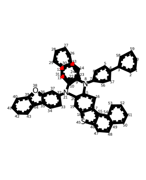 c1ccc(-c2ccc(N(c3ccccc3)c3cc4c(cc3N(c3ccc5ccccc5c3)c3ccc5c(c3)oc3ccccc35)sc3ccc5ccccc5c34)cc2)cc1